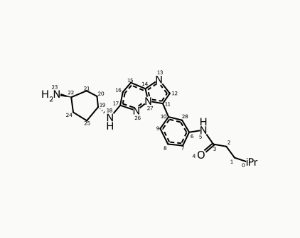 CC(C)CCC(=O)Nc1cccc(-c2cnc3ccc(N[C@H]4CC[C@H](N)CC4)nn23)c1